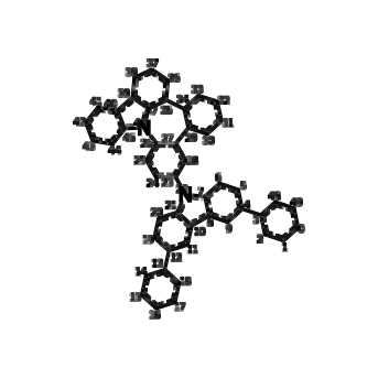 c1ccc(-c2ccc3c(c2)c2cc(-c4ccccc4)ccc2n3-c2ccc3c(c2)-c2ccccc2-c2cccc4c5ccccc5n-3c24)cc1